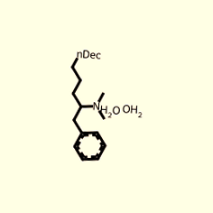 CCCCCCCCCCCCCC(Cc1ccccc1)N(C)C.O.O